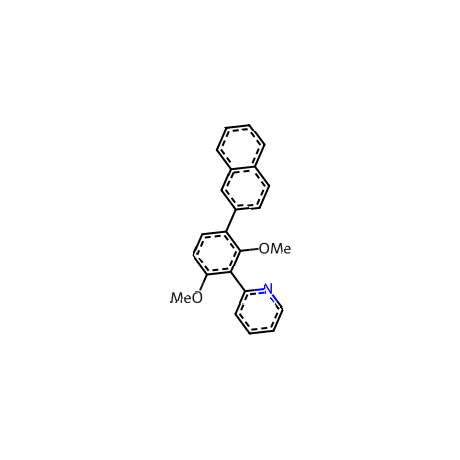 COc1ccc(-c2ccc3ccccc3c2)c(OC)c1-c1ccccn1